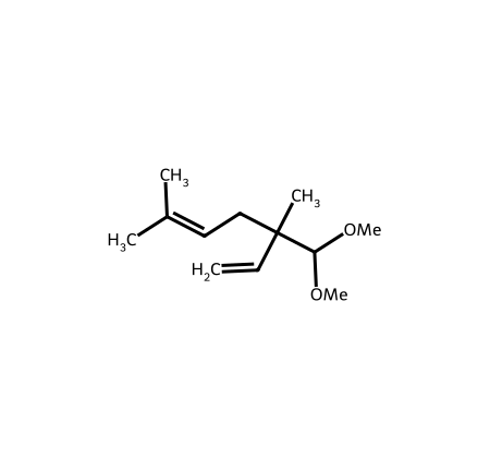 C=CC(C)(CC=C(C)C)C(OC)OC